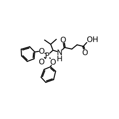 CC(C)C(NC(=O)CCC(=O)O)P(=O)(Oc1ccccc1)Oc1ccccc1